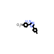 Cc1ccc(-c2cnc(N)c(-c3ccc([N+](=O)[O-])cc3)n2)cc1